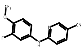 N#Cc1ccc(Nc2ccc(OC(F)(F)F)c(F)c2)nc1